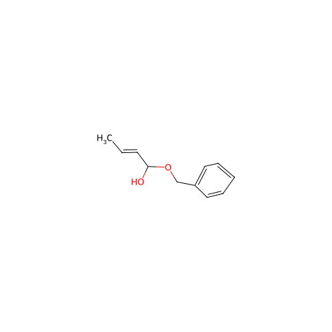 CC=CC(O)OCc1ccccc1